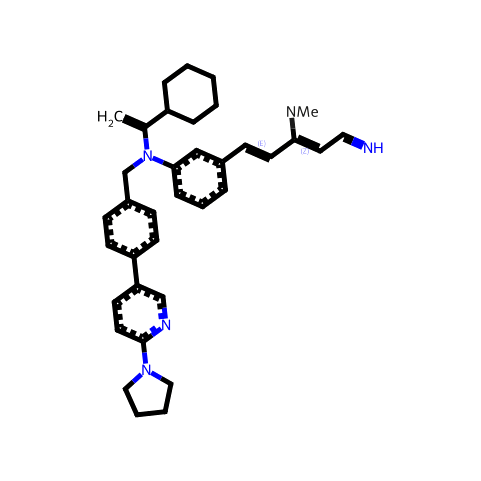 C=C(C1CCCCC1)N(Cc1ccc(-c2ccc(N3CCCC3)nc2)cc1)c1cccc(/C=C/C(=C/C=N)NC)c1